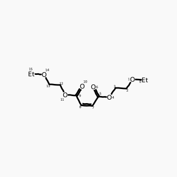 CCOCCOC(=O)/C=C\C(=O)OCCOCC